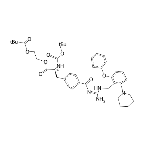 CC(C)(C)OC(=O)N[C@@H](Cc1ccc(C(=O)N=C(N)NCc2c(Oc3ccccc3)cccc2N2CCCCC2)cc1)C(=O)OCCOC(=O)C(C)(C)C